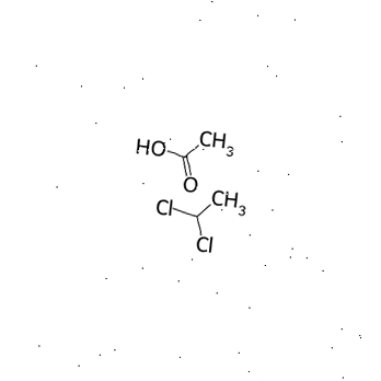 CC(=O)O.CC(Cl)Cl